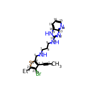 CC#Cc1c(CNCCCNc2nc3ncccc3[nH]2)sc(CC)c1Br